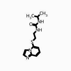 CC(C)NC(=O)NCCSc1cccc2nccn12